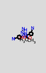 CC1(C)Oc2ccc(C#N)cc2C(N/C(=N\C#N)Nc2ccc(C#N)cc2)C1O